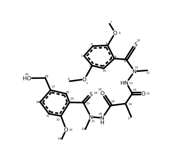 COc1ccc(OC)c(C(=S)N(C)NC(=O)C(C)C(=O)NN(C)C(=S)c2cc(CO)ccc2OC)c1